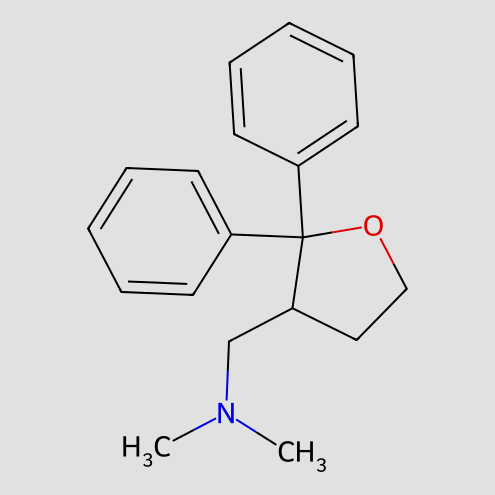 CN(C)CC1CCOC1(c1ccccc1)c1ccccc1